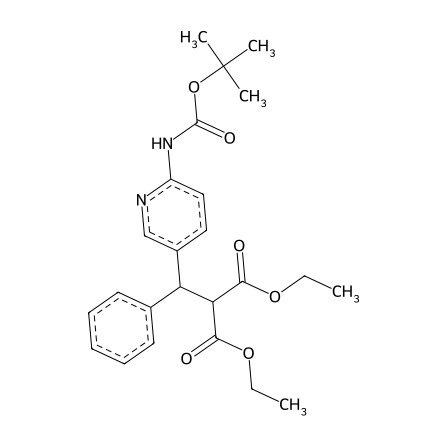 CCOC(=O)C(C(=O)OCC)C(c1ccccc1)c1ccc(NC(=O)OC(C)(C)C)nc1